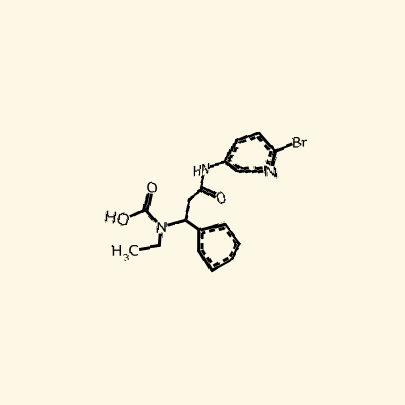 CCN(C(=O)O)C(CC(=O)Nc1ccc(Br)nc1)c1ccccc1